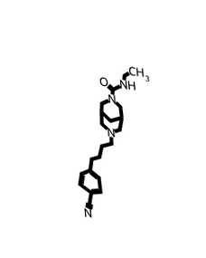 CCNC(=O)N1CC2CC(CN(CCCCc3ccc(C#N)cc3)C2)C1